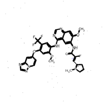 COc1cc2ncnc(Nc3cc(C(F)(F)F)c(Oc4ccn5ncnc5c4)cc3OC)c2cc1NC(=O)/C(F)=C/[C@H]1CCCN1C